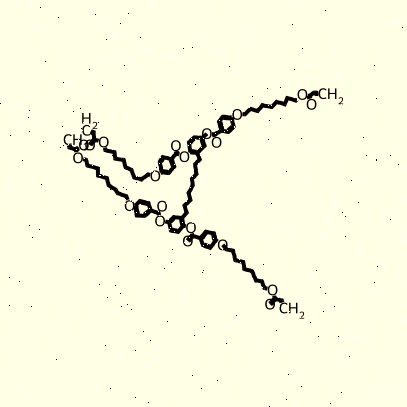 C=CC(=O)OCCCCCCCCCOc1ccc(C(=O)Oc2ccc(OC(=O)c3ccc(OCCCCCCCCCOC(=O)C=C)cc3)c(CCCCCCCCCc3cc(OC(=O)c4ccc(OCCCCCCCCCOC(=O)C=C)cc4)ccc3OC(=O)c3ccc(OCCCCCCCCCOC(=O)C=C)cc3)c2)cc1